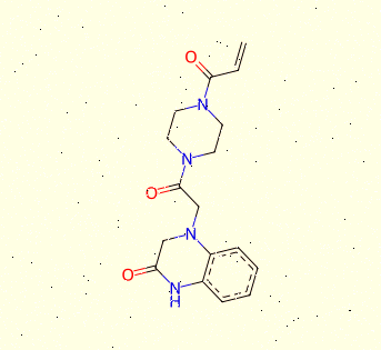 C=CC(=O)N1CCN(C(=O)CN2CC(=O)Nc3ccccc32)CC1